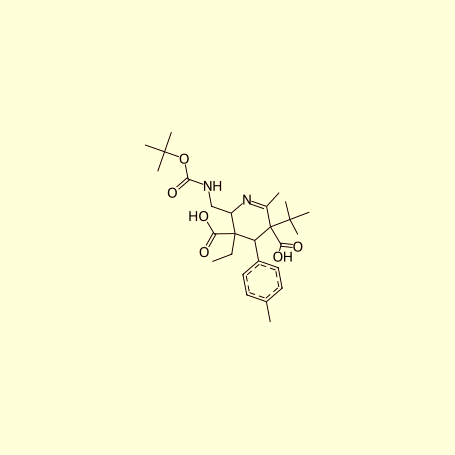 CCC1(C(=O)O)C(CNC(=O)OC(C)(C)C)N=C(C)C(C(=O)O)(C(C)(C)C)C1c1ccc(C)cc1